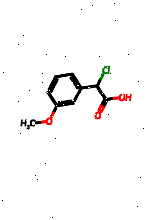 COc1cccc(C(Cl)C(=O)O)c1